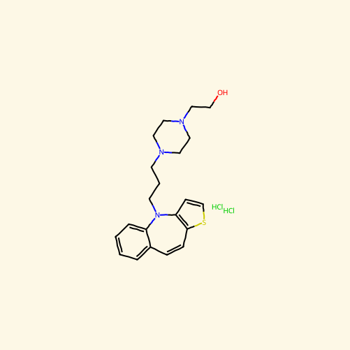 Cl.Cl.OCCN1CCN(CCCN2c3ccccc3C=Cc3sccc32)CC1